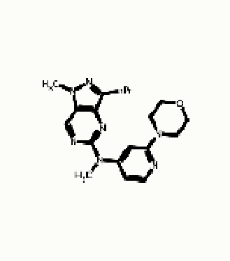 CCCc1nn(C)c2cnc(N(C)c3ccnc(N4CCOCC4)c3)nc12